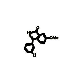 COc1ccc2c(-c3cccc(Cl)c3)n[nH]c(=O)c2c1